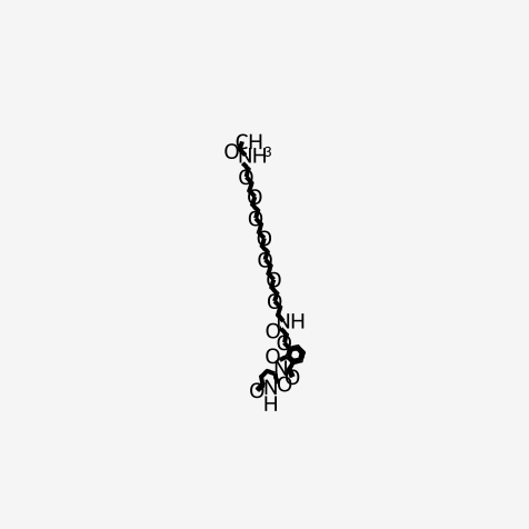 CC(=O)NCCOCCOCCOCCOCCOCCOCCOCCNC(=O)COc1cccc2c1C(=O)N(C1CCC(=O)NC1=O)C2=O